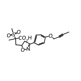 CC#CCOc1ccc(C2=NOC(CC(C)(C(=O)O)S(C)(=O)=O)C2)cc1